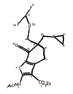 CCOC(=O)c1c(NC(C)=O)sc2c1CCC(COC(F)F)(CC1CC1)C2=O